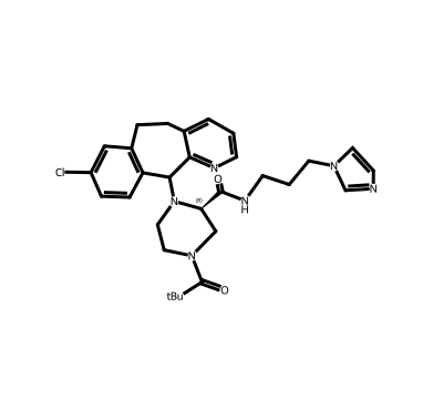 CC(C)(C)C(=O)N1CCN(C2c3ccc(Cl)cc3CCc3cccnc32)[C@@H](C(=O)NCCCn2ccnc2)C1